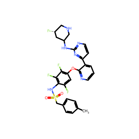 Cc1ccc(CS(=O)(=O)Nc2c(F)cc(Oc3ncccc3-c3ccnc(NC4CNC[C@@H](F)C4)n3)c(F)c2F)cc1